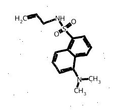 C=CCNS(=O)(=O)c1cccc2c(N(C)C)cccc12